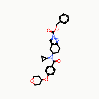 O=C(c1ccc(OC2CCOCC2)cc1)N(C1CC1)C1CCc2nn(C(=O)OCc3ccccc3)cc2C1